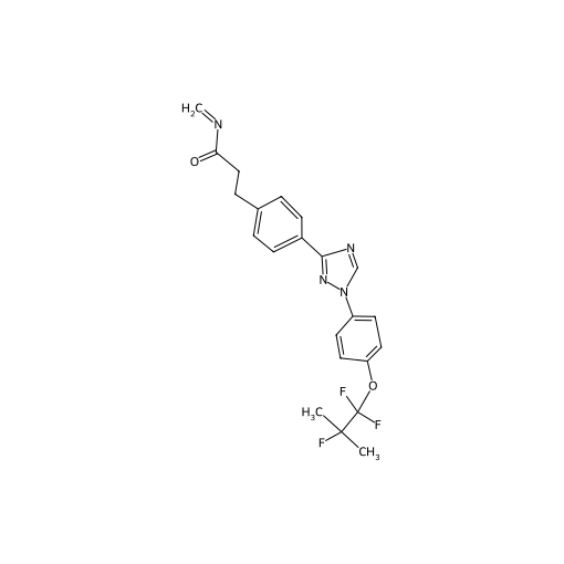 C=NC(=O)CCc1ccc(-c2ncn(-c3ccc(OC(F)(F)C(C)(C)F)cc3)n2)cc1